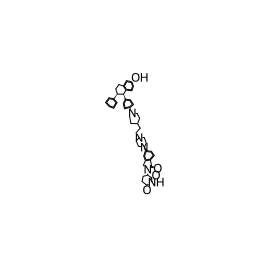 O=C1CCC(N2Cc3cc(N4CCN(CCC5CCN(c6ccc([C@@H]7c8ccc(O)cc8CC[C@@H]7c7ccccc7)cc6)CC5)CC4)ccc3C2=O)C(=O)N1